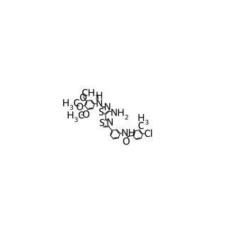 COc1cc(Nc2nc(N)c(-c3nc(-c4cccc(NC(=O)c5ccc(Cl)c(C)c5)c4)cs3)s2)cc(OC)c1OC